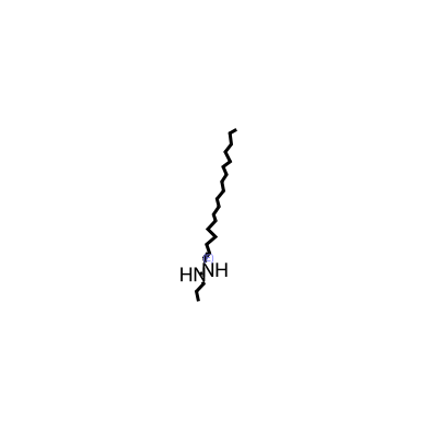 CCCCCCCCCCCCCCCC/C=C/NNCCC